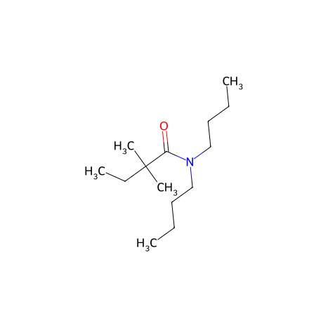 CCCCN(CCCC)C(=O)C(C)(C)CC